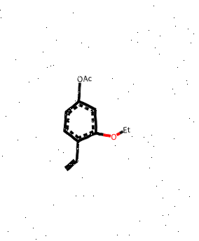 C=Cc1ccc(OC(C)=O)cc1OCC